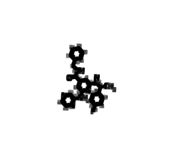 C[C@H](Nc1cc(C(=O)NCc2ccccc2)cc(Nc2cnccn2)n1)c1ccc(F)cc1